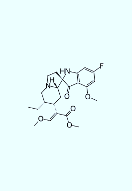 CC[C@@H]1CN2CC[C@]3(Nc4cc(F)cc(OC)c4C3=O)[C@@H]2C[C@@H]1/C(=C\OC)C(=O)OC